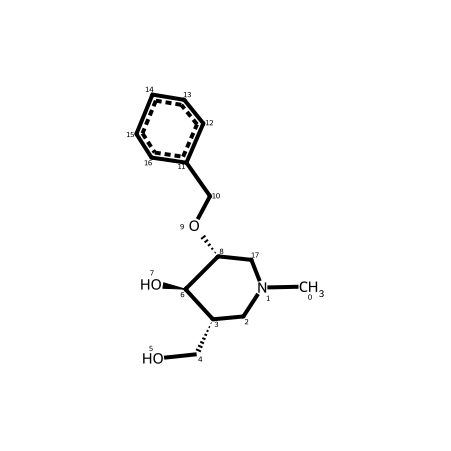 CN1C[C@H](CO)[C@@H](O)[C@H](OCc2ccccc2)C1